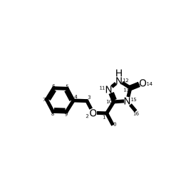 CC(OCc1ccccc1)c1n[nH]c(=O)n1C